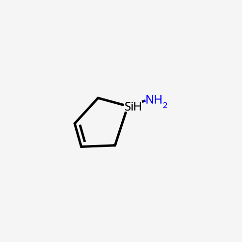 N[SiH]1CC=CC1